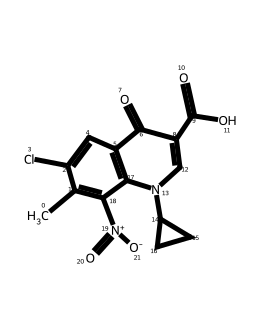 Cc1c(Cl)cc2c(=O)c(C(=O)O)cn(C3CC3)c2c1[N+](=O)[O-]